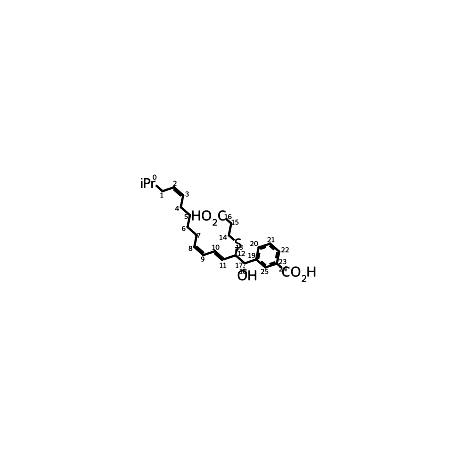 CC(C)C/C=C\CCCC/C=C\C=C\[C@@H](SCCC(=O)O)[C@@H](O)c1cccc(C(=O)O)c1